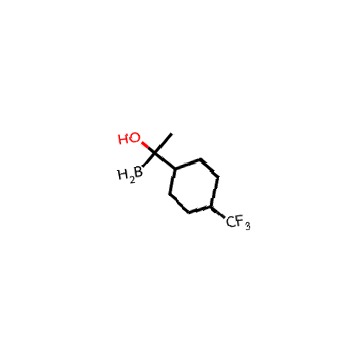 BC(C)(O)C1CCC(C(F)(F)F)CC1